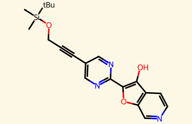 CC(C)(C)[Si](C)(C)OCC#Cc1cnc(-c2oc3cnccc3c2O)nc1